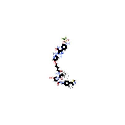 Cc1ncsc1-c1ccc(CNC(=O)[C@@H]2C[C@@H](O)CN2C(=O)C(NC(=O)CCCCOc2ccc(Nc3[nH]nc(-c4ccc(NS(=O)(=O)C(F)F)cc4)c3C(N)=O)nc2)C(C)(C)C)cc1